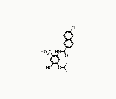 N#Cc1cc(C(=O)O)c(NC(=O)c2ccc3cc(Cl)ccc3c2)cc1OC(F)F